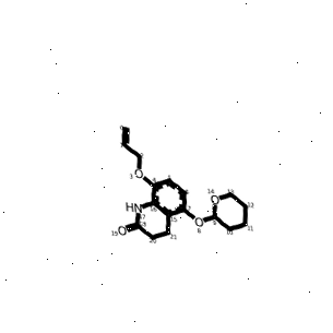 C=CCOc1ccc(OC2CCCCO2)c2c1NC(=O)CC2